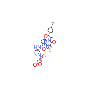 CC(NC(=O)c1cscn1)C(Oc1ccc(C(=O)N[C@H]2CCCN(C(=O)[C@H]3COC(=O)C3)C2)nc1)c1ccc(C2CC2)cc1